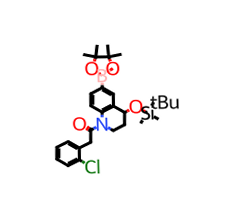 CC1(C)OB(c2ccc3c(c2)C(O[Si](C)(C)C(C)(C)C)CCN3C(=O)Cc2ccccc2Cl)OC1(C)C